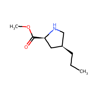 CCC[C@@H]1CN[C@H](C(=O)OC)C1